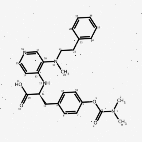 CN(C)C(=O)Oc1ccc(C[C@H](Nc2ccncc2N(C)CCc2ccccc2)C(=O)O)cc1